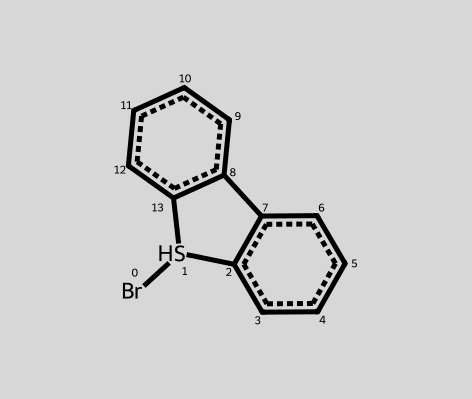 Br[SH]1c2ccccc2-c2ccccc21